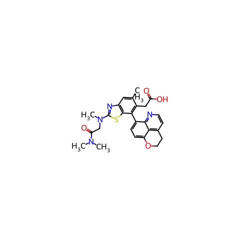 Cc1cc2nc(N(C)CC(=O)N(C)C)sc2c(-c2ccc3c4c(ccnc24)CCO3)c1CC(=O)O